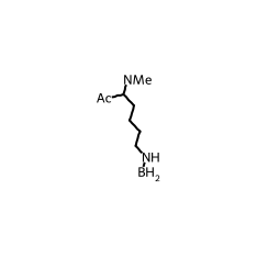 BNCCCCC(NC)C(C)=O